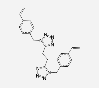 C=Cc1ccc(Cn2nnnc2CCc2nnnn2Cc2ccc(C=C)cc2)cc1